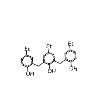 CCc1ccc(O)c(Cc2cc(CC)cc(Cc3cc(CC)ccc3O)c2O)c1